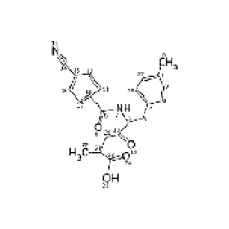 Cc1ccc(CC(NC(=O)c2ccc(C#N)cc2)C(=O)CC(C)C(=O)O)cc1